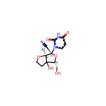 N#C[C@@]1(n2ccc(=O)[nH]c2=O)O[C@H](CO)C2(O)CCO[C@H]21